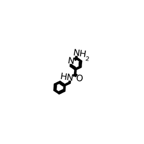 Nc1ccc(C(=O)NCc2ccccc2)cn1